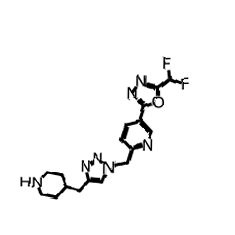 FC(F)c1nnc(-c2ccc(Cn3cc(CC4CCNCC4)nn3)nc2)o1